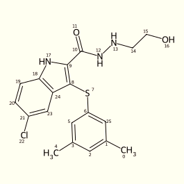 Cc1cc(C)cc(Sc2c(C(=O)NNCCO)[nH]c3ccc(Cl)cc23)c1